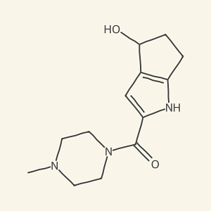 CN1CCN(C(=O)c2cc3c([nH]2)CCC3O)CC1